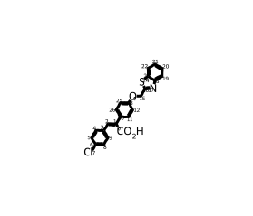 O=C(O)/C(=C\c1ccc(Cl)cc1)c1ccc(OCc2nc3ccccc3s2)cc1